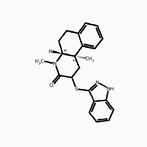 CN1C(=O)C(Sc2n[nH]c3ccccc23)C[C@]2(C)c3ccccc3CC[C@@H]12